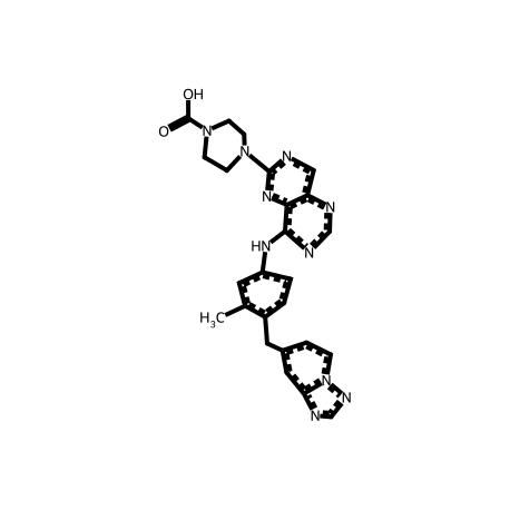 Cc1cc(Nc2ncnc3cnc(N4CCN(C(=O)O)CC4)nc23)ccc1Cc1ccn2ncnc2c1